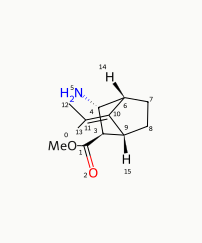 COC(=O)[C@H]1[C@H](N)[C@@H]2CC[C@H]1C2=C(C)C